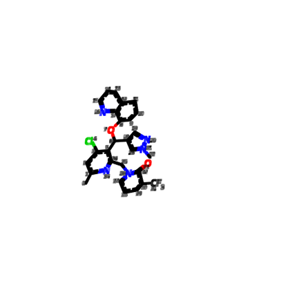 Cc1cc(Cl)c(C(Oc2cccc3cccnc23)c2cnn(C)c2)c(Cn2cccc(C(F)(F)F)c2=O)n1